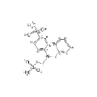 CS(=O)(=O)CCN(Cc1ccccn1)c1ccc(S(C)(=O)=O)cc1